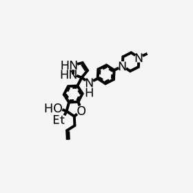 C=CCC1Oc2cc(C3(Nc4ccc(N5CCN(C)CC5)cc4)C=CNN3)ccc2C1(O)CC